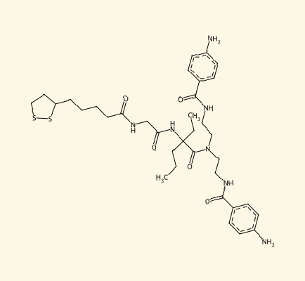 CCCC(CC)(NC(=O)CNC(=O)CCCCC1CCSS1)C(=O)N(CCNC(=O)c1ccc(N)cc1)CCNC(=O)c1ccc(N)cc1